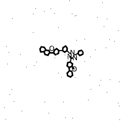 c1ccc(-c2nc(-c3cccc(-c4ccc5c(c4)oc4c6ccccc6ccc54)c3)nc(-c3ccc4c(c3)oc3ccccc34)n2)cc1